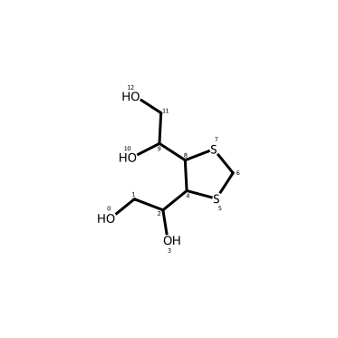 OCC(O)C1SCSC1C(O)CO